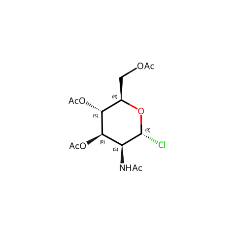 CC(=O)N[C@H]1[C@@H](OC(C)=O)[C@H](OC(C)=O)[C@@H](COC(C)=O)O[C@@H]1Cl